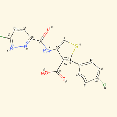 O=C(Nc1csc(-c2ccc(Cl)cc2)c1C(=O)O)c1ccc(Cl)nn1